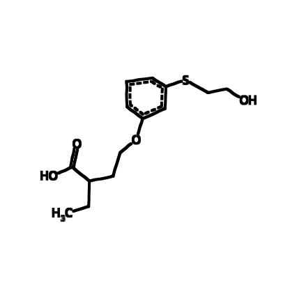 CCC(CCOc1cccc(SCCO)c1)C(=O)O